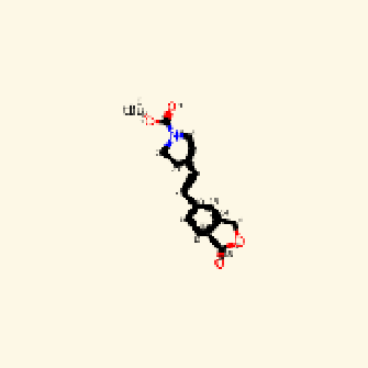 CC(C)(C)OC(=O)N1CCC(C=Cc2ccc3c(c2)COC3=O)CC1